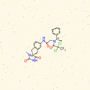 C[C@H](c1ccccc1)N(CC(=O)Nc1ccc2c(c1)C[C@@]1(C2)C(=O)NC(=O)N1C)C(=O)C(Cl)(Cl)C(F)(F)F